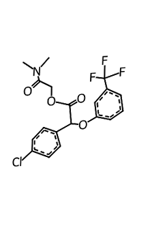 CN(C)C(=O)COC(=O)C(Oc1cccc(C(F)(F)F)c1)c1ccc(Cl)cc1